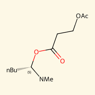 CCCC[C@@H](NC)OC(=O)CCOC(C)=O